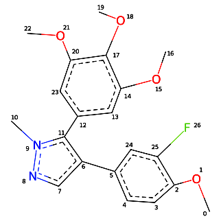 COc1ccc(-c2cnn(C)c2-c2cc(OC)c(OC)c(OC)c2)cc1F